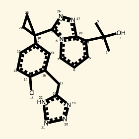 CC(C)(O)c1cccn2c(C3(c4ccc(Cl)c(Cc5nnn[nH]5)c4)CC3)nnc12